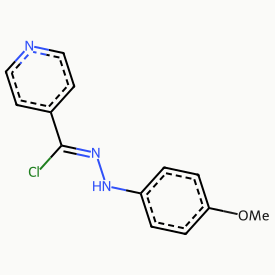 COc1ccc(NN=C(Cl)c2ccncc2)cc1